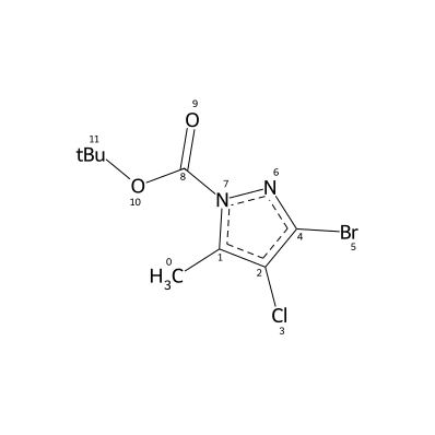 Cc1c(Cl)c(Br)nn1C(=O)OC(C)(C)C